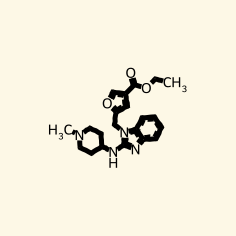 CCOC(=O)c1coc(Cn2c(NC3CCN(C)CC3)nc3ccccc32)c1